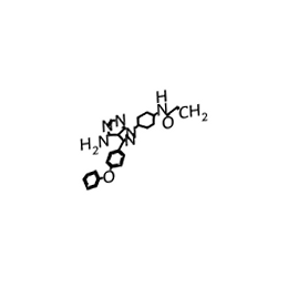 C=CC(=O)NC1CCC(N2N=C(c3ccc(Oc4ccccc4)cc3)C3C2=NC=NC3N)CC1